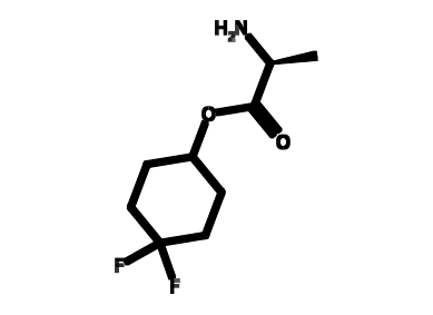 C[C@H](N)C(=O)OC1CCC(F)(F)CC1